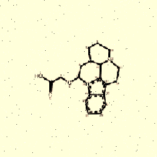 O=C(O)COC1CC2CCCN3CCc4c(n1c1ccccc41)C23